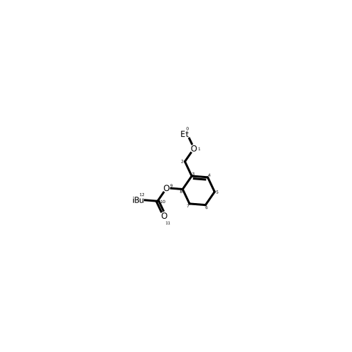 CCOCC1=CCCCC1OC(=O)C(C)CC